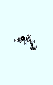 CN(C)c1nc(NCCCNS(C)(=O)=O)nc(Nc2cccc(S(=O)(=O)O)c2)n1